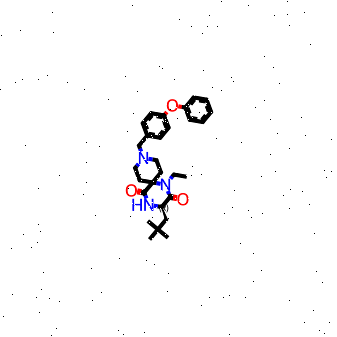 CCN1C(=O)[C@@H](CC(C)(C)C)NC(=O)C12CCN(Cc1ccc(Oc3ccccc3)cc1)CC2